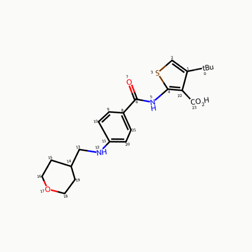 CC(C)(C)c1csc(NC(=O)c2ccc(NCC3CCOCC3)cc2)c1C(=O)O